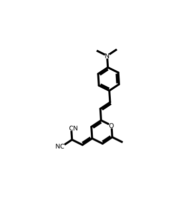 CC1=CC(=CC(C#N)C#N)C=C(C=Cc2ccc(N(C)C)cc2)O1